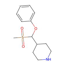 CS(=O)(=O)C(Oc1cc[c]cc1)C1CCNCC1